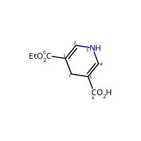 CCOC(=O)C1=CNC=C(C(=O)O)C1